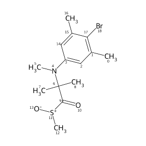 Cc1cc(N(C)C(C)(C)C(=O)[S+](C)[O-])cc(C)c1Br